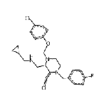 O=C=C1C(CNCC2CC2)N(COc2ccc(Cl)cc2)CCN1Cc1ccc(F)cc1